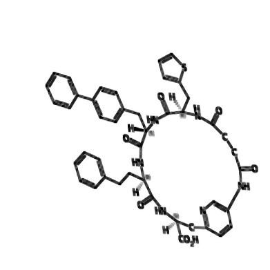 O=C1CCC(=O)N[C@H](Cc2cccs2)C(=O)N[C@@H](Cc2ccc(-c3ccccc3)cc2)C(=O)N[C@H](CCc2ccccc2)C(=O)N[C@H](C(=O)O)Cc2ccc(cn2)N1